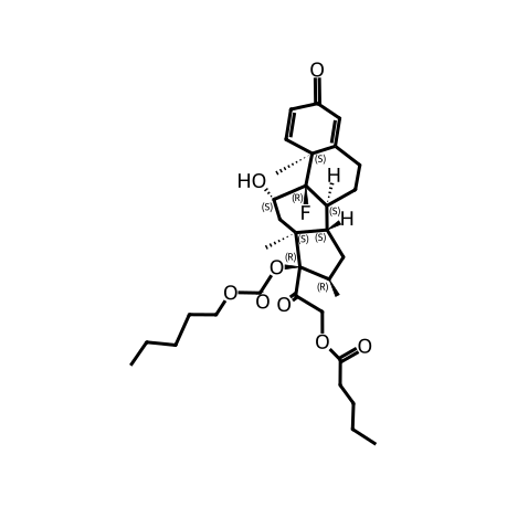 CCCCCOC(=O)O[C@]1(C(=O)COC(=O)CCCC)[C@H](C)C[C@H]2[C@@H]3CCC4=CC(=O)C=C[C@]4(C)[C@@]3(F)[C@@H](O)C[C@@]21C